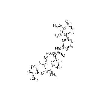 Cc1noc(Cn2c(=O)c3c(ncn3[C@@H](C)C(=O)Nc3ccnc(C4=CN=C(C(F)(F)F)C(C)C4C)n3)n(C)c2=O)n1